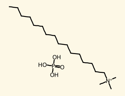 CCCCCCCCCCCCCCCC[N+](C)(C)C.O=P(O)(O)O